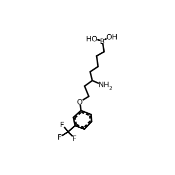 NC(CCCCB(O)O)CCOc1cccc(C(F)(F)F)c1